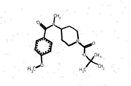 COc1ccc(C(=O)N(C)C2CCN(C(=O)OC(C)(C)C)CC2)cc1